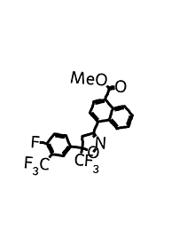 COC(=O)c1ccc(C2=NOC(c3ccc(F)c(C(F)(F)F)c3)(C(F)(F)F)C2)c2ccccc12